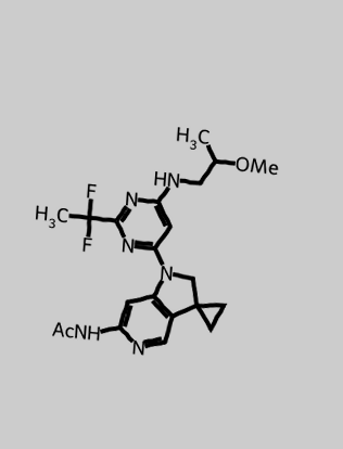 COC(C)CNc1cc(N2CC3(CC3)c3cnc(NC(C)=O)cc32)nc(C(C)(F)F)n1